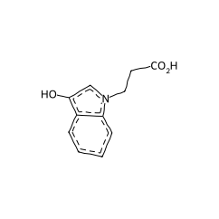 O=C(O)CCn1cc(O)c2ccccc21